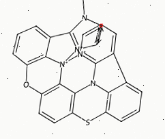 Cn1c2[n+](c3ccccc31)[N+]13c4c(cccc4-2)Oc2ccc4c(c21)-n1c2c(cccc2c2ccc[n+]3c21)S4